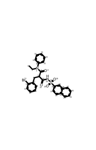 CCN(C(=O)C(Cc1ccccc1Br)C(=O)NS(=O)(=O)c1ccc2ccccc2c1)c1ccccc1